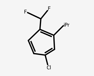 CC(C)c1cc(Cl)ccc1C(F)F